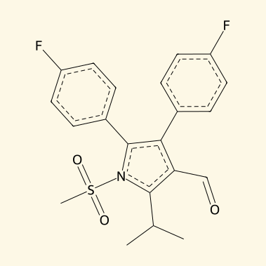 CC(C)c1c(C=O)c(-c2ccc(F)cc2)c(-c2ccc(F)cc2)n1S(C)(=O)=O